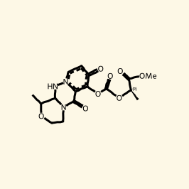 COC(=O)[C@@H](C)OC(=O)Oc1c2n(ccc1=O)NC1C(C)OCCN1C2=O